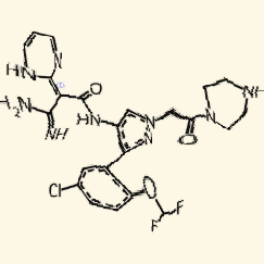 N=C(N)/C(C(=O)Nc1cn(CC(=O)N2CCNCC2)nc1-c1cc(Cl)ccc1OC(F)F)=C1/N=CC=CN1